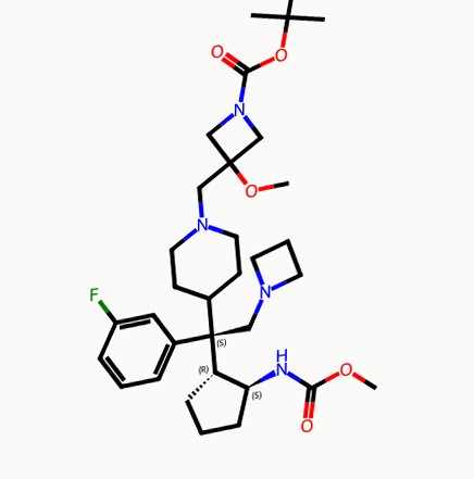 COC(=O)N[C@H]1CCC[C@@H]1[C@](CN1CCC1)(c1cccc(F)c1)C1CCN(CC2(OC)CN(C(=O)OC(C)(C)C)C2)CC1